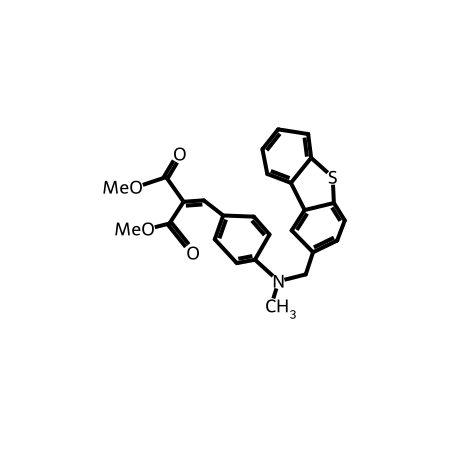 COC(=O)C(=Cc1ccc(N(C)Cc2ccc3sc4ccccc4c3c2)cc1)C(=O)OC